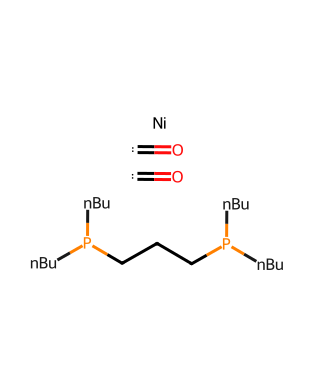 CCCCP(CCCC)CCCP(CCCC)CCCC.[C]=O.[C]=O.[Ni]